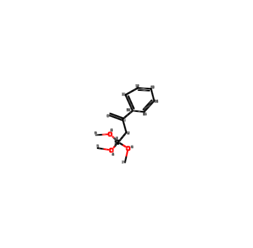 C=C(C[Si](OC)(OC)OC)c1ccccc1